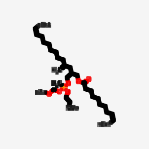 C=C(CCCCCCC/C=C\CCCCCCCC)CC(COC(=O)CCCCCCC/C=C\CCCCCCCC)COP(=C)(OCCNC)OCOCCCC